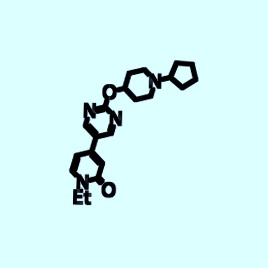 CCn1ccc(-c2cnc(OC3CCN(C4CCCC4)CC3)nc2)cc1=O